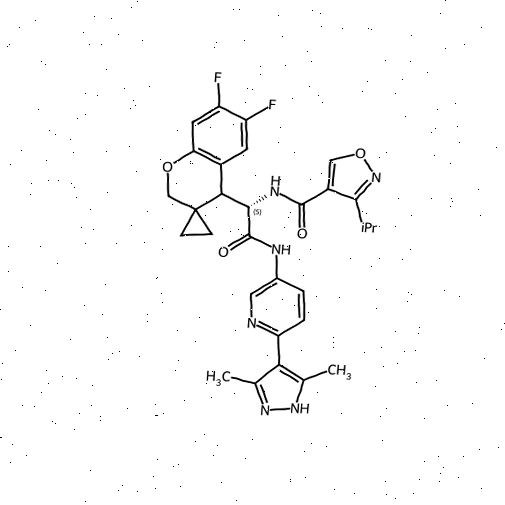 Cc1n[nH]c(C)c1-c1ccc(NC(=O)[C@@H](NC(=O)c2conc2C(C)C)C2c3cc(F)c(F)cc3OCC23CC3)cn1